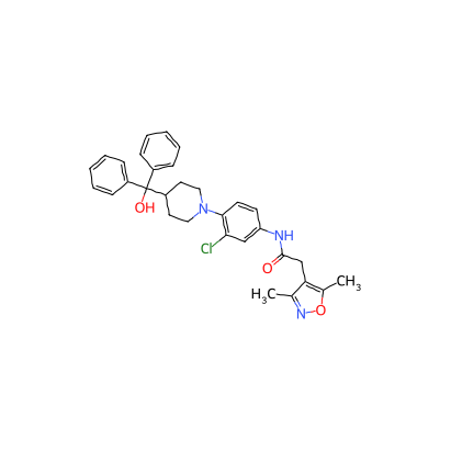 Cc1noc(C)c1CC(=O)Nc1ccc(N2CCC(C(O)(c3ccccc3)c3ccccc3)CC2)c(Cl)c1